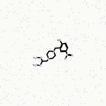 COC(CN1CCN(Cc2cc([N+](=O)[O-])ccc2O)CC1)OC